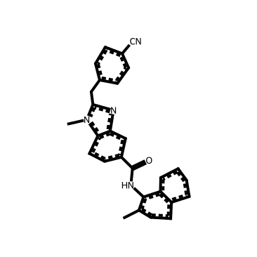 Cc1ccc2ccccc2c1NC(=O)c1ccc2c(c1)nc(Cc1ccc(C#N)cc1)n2C